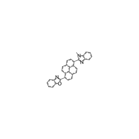 Cn1c(-c2ccc3ccc4c(-c5nc6ccccc6o5)ccc5ccc2c3c54)nc2ccccc21